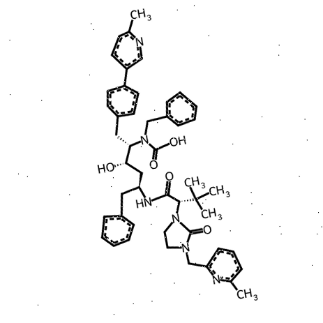 Cc1ccc(-c2ccc(C[C@@H]([C@@H](O)C[C@H](Cc3ccccc3)NC(=O)[C@@H](N3CCN(Cc4cccc(C)n4)C3=O)C(C)(C)C)N(Cc3ccccc3)C(=O)O)cc2)cn1